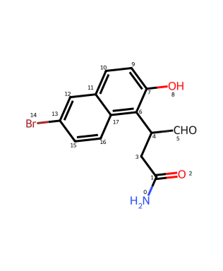 NC(=O)CC(C=O)c1c(O)ccc2cc(Br)ccc12